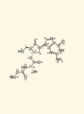 C=C1[C@H](CO)[C@@H](OC(=O)[C@@H](NC(=O)OC(C)(C)C)C(C)C)C[C@@H]1n1cnc2c(=O)[nH]c(N)nc21